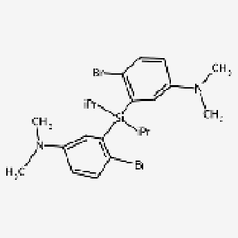 CC(C)[Si](c1cc(N(C)C)ccc1Br)(c1cc(N(C)C)ccc1Br)C(C)C